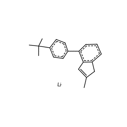 CC1=Cc2c(cccc2-c2ccc(C(C)(C)C)cc2)C1.[Li]